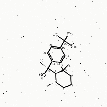 C[C@H]1CCCC(C)(C)[C@@H]1[C@@](C)(O)c1ccc(C(F)(F)F)cc1